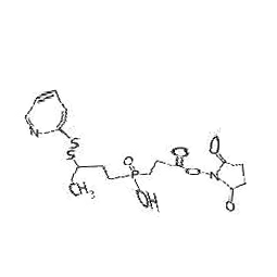 CC(CCP(=O)(O)CCC(=O)ON1C(=O)CCC1=O)SSc1ccccn1